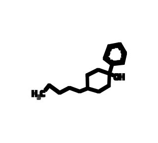 CCCCCC1CCC(O)(c2ccccc2)CC1